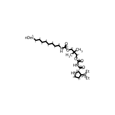 CCCCCCCCCCCCCCCCCCNC(=O)OCC(C)(C)COC(=O)NC(=O)[C@H]1NCCC1N(CC)CC